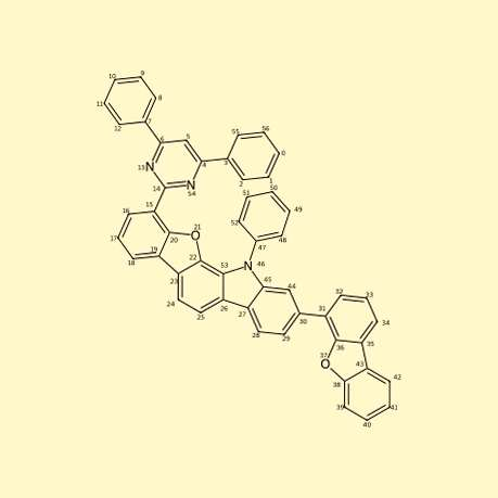 c1ccc(-c2cc(-c3ccccc3)nc(-c3cccc4c3oc3c4ccc4c5ccc(-c6cccc7c6oc6ccccc67)cc5n(-c5ccccc5)c43)n2)cc1